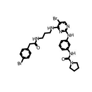 O=C(Cc1ccc(Br)cc1)NCCCNc1nc(Nc2cccc(NC(=O)N3CCCC3)c2)ncc1Br